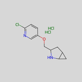 Cl.Cl.Clc1ccc(OCC2CC3CC3N2)cn1